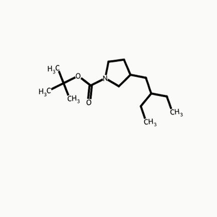 CCC(CC)CC1CCN(C(=O)OC(C)(C)C)C1